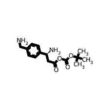 CC(C)(C)OC(=O)OC(=O)C[C@@H](N)c1ccc(CN)cc1